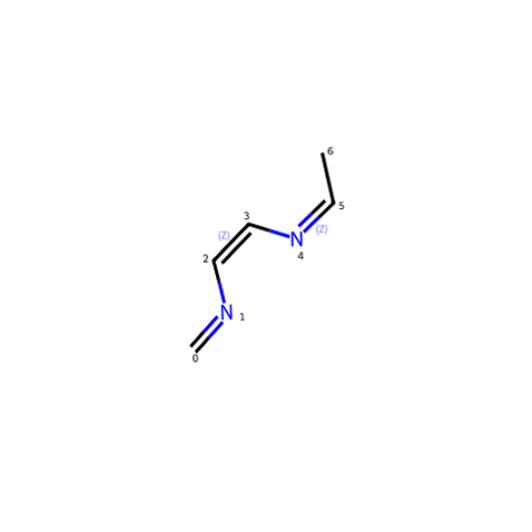 C=N/C=C\N=C/C